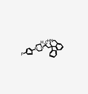 CC(CC1(c2ccccc2)CNCc2ccccc21)N1CCN(c2ccc(F)cc2)CC1